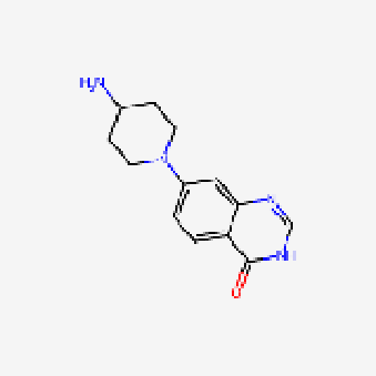 NC1CCN(c2ccc3c(=O)[nH]cnc3c2)CC1